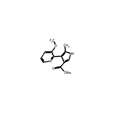 COC(=O)c1c[nH]c(C)c1-c1ncccc1OC(F)(F)F